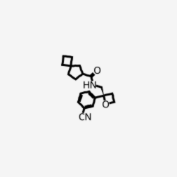 N#Cc1cccc([C@]2(CNC(=O)C3CCC4(CCC4)C3)CCO2)c1